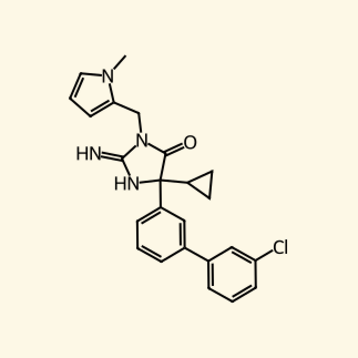 Cn1cccc1CN1C(=N)NC(c2cccc(-c3cccc(Cl)c3)c2)(C2CC2)C1=O